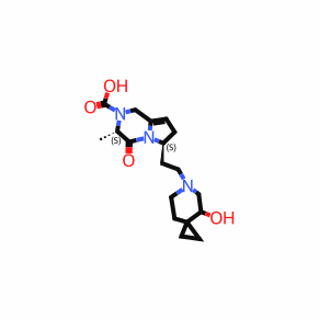 C[C@H]1C(=O)N2C(=CC[C@H]2CCN2CCC3(CC3)C(O)C2)CN1C(=O)O